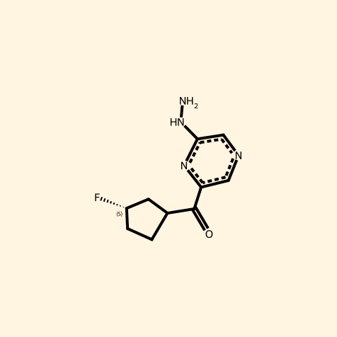 NNc1cncc(C(=O)C2CC[C@H](F)C2)n1